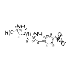 C[C@H](N)CNC[C@@H](N)Cc1ccc([N+](=O)[O-])cc1